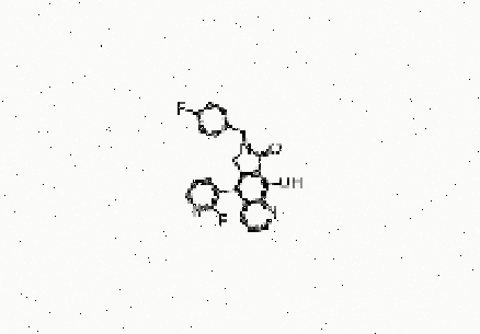 O=C1c2c(c(-c3cccnc3F)c3cccnc3c2O)CN1Cc1ccc(F)cc1